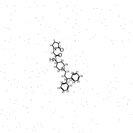 O=C(CN1CCCC1=O)NC1CCN(CCC(c2ccccc2)c2ccccc2)CC1